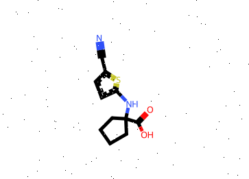 N#Cc1ccc(NC2(C(=O)O)CCCC2)s1